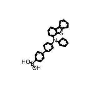 OB(O)c1ccc(-c2ccc(N(c3ccccc3)c3cccc4c3sc3ccccc34)cc2)cc1